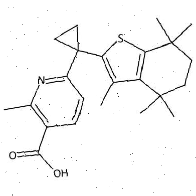 Cc1nc(C2(c3sc4c(c3C)C(C)(C)CCC4(C)C)CC2)ccc1C(=O)O